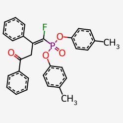 Cc1ccc(OP(=O)(Oc2ccc(C)cc2)/C(F)=C(\CC(=O)c2ccccc2)c2ccccc2)cc1